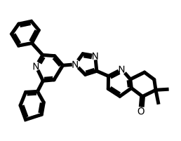 CC1(C)CCc2nc(-c3cn(-c4cc(-c5ccccc5)nc(-c5ccccc5)c4)cn3)ccc2C1=O